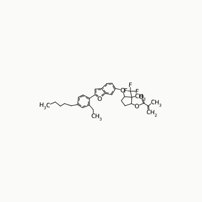 C=C(C)C(=O)OC1CCC(Oc2ccc3cc(-c4ccc(CCCCC)cc4CC)oc3c2)C1(C)C(F)(F)F